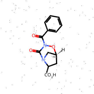 O=C(O)C1C[C@H]2CN1C(=O)N(C(=O)c1ccccc1)O2